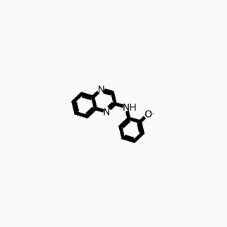 [O]c1ccccc1Nc1cnc2ccccc2n1